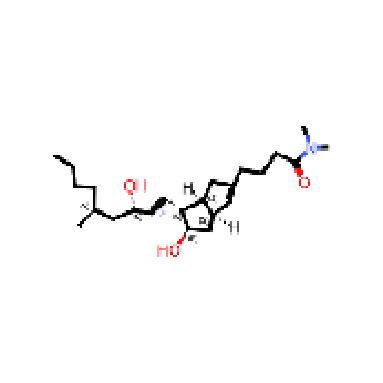 CCCC[C@H](C)C[C@H](O)/C=C/[C@@H]1[C@H]2CC(CCCC(=O)N(C)C)=C[C@H]2C[C@H]1O